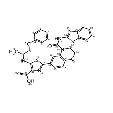 CC(COc1ccccc1)Nc1sc(-c2ccc3c(c2)N(C(=O)Nc2nc4ccccc4s2)CCO3)nc1C(=O)O